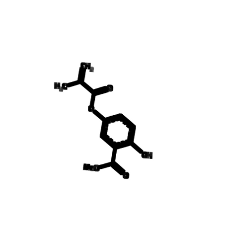 C=C(C)C(=O)Oc1ccc(O)c(C(=O)OC)c1